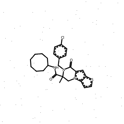 CC1(C(=O)NC2CCCCCCC2)Cn2c(cc3sccc32)C(=O)N1Cc1ccc(Cl)cc1